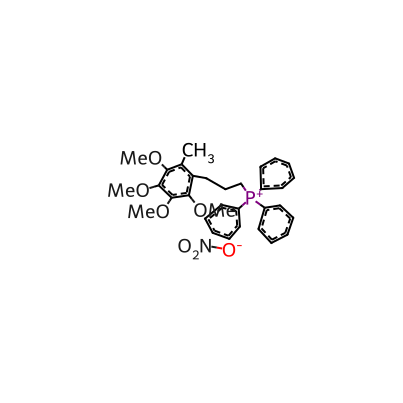 COc1c(C)c(CCC[P+](c2ccccc2)(c2ccccc2)c2ccccc2)c(OC)c(OC)c1OC.O=[N+]([O-])[O-]